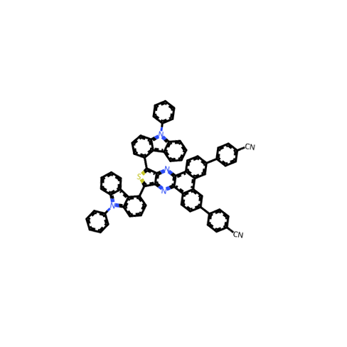 N#Cc1ccc(-c2ccc3c(c2)c2cc(-c4ccc(C#N)cc4)ccc2c2nc4c(-c5cccc6c5c5ccccc5n6-c5ccccc5)sc(-c5cccc6c5c5ccccc5n6-c5ccccc5)c4nc32)cc1